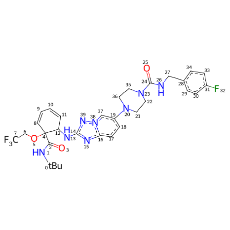 CC(C)(C)NC(=O)C1(OCC(F)(F)F)C=CC=CC1Nc1nc2ccc(N3CCN(C(=O)NCc4ccc(F)cc4)CC3)cn2n1